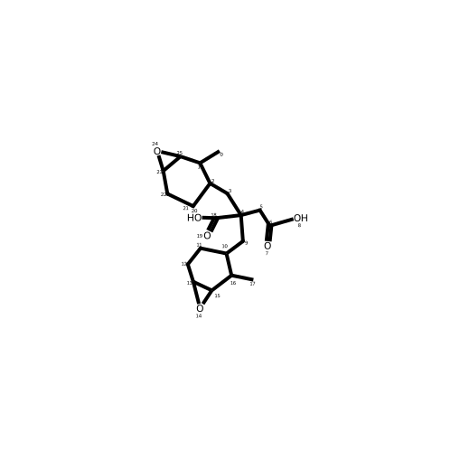 CC1C(CC(CC(=O)O)(CC2CCC3OC3C2C)C(=O)O)CCC2OC21